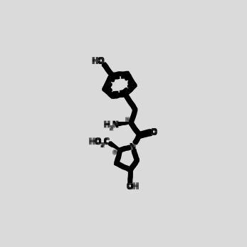 N[C@@H](Cc1ccc(O)cc1)C(=O)N1CC(O)C[C@H]1C(=O)O